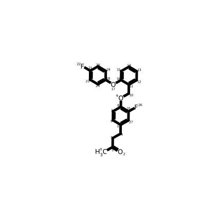 CC(=O)CCc1ccc(OCc2ccccc2Oc2ccc(F)cc2)c(F)c1